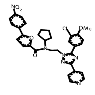 COc1ccc(-c2nc(-c3ccncc3)nn2CCN(C(=O)c2ccc(-c3ccc([N+](=O)[O-])cc3)o2)C2CCCC2)cc1Cl